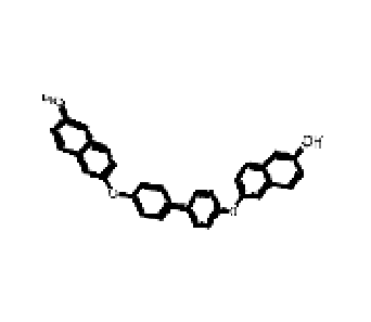 Oc1ccc2cc(Oc3ccc(-c4ccc(Oc5ccc6cc(O)ccc6c5)cc4)cc3)ccc2c1